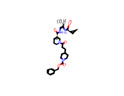 O=C(NC(CNC(=O)[C@@H]1CCCN(C(=O)CCC2CCN(C(=O)OCc3ccccc3)CC2)C1)C(=O)O)C1CC1